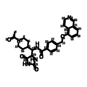 CC(=O)N1CCC(C(NC(=O)c2ccc(COc3cccc4cnccc34)cc2)C2NC(=O)NC2=O)CC1